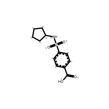 O=C(O)c1ccc(S(=O)(=O)NC2CCCC2)cc1